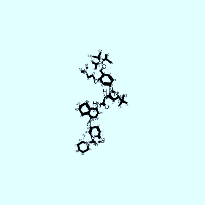 CC(C)[Si](OCc1ccc(-n2nc(C(C)(C)C)cc2NC(=O)N[C@H]2CC[C@@H](Oc3ccc4nnc(N5CCCC[C@@H]5C)n4c3)c3ccccc32)cc1OCCN(C)C)(C(C)C)C(C)I